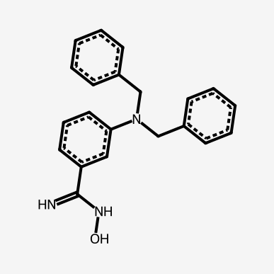 N=C(NO)c1cccc(N(Cc2ccccc2)Cc2ccccc2)c1